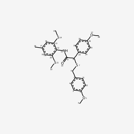 COc1ccc(CSC(C(=O)Nc2c(SC)cc(C)nc2SC)c2ccc(OC)cc2)cc1